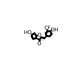 O=C1/C(=C/c2ccc(O)c(C(F)(F)F)c2)Oc2cc(O)ccc21